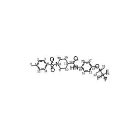 Cc1ccc(S(=O)(=O)N2CCC(C(=O)Nc3ccc(OC(C)(C)C(F)(F)F)cc3)CC2)cc1